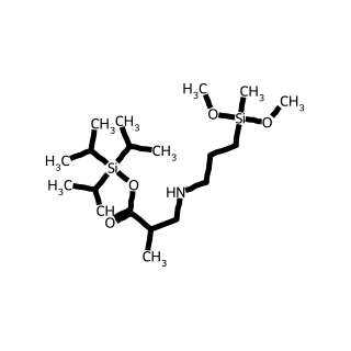 CO[Si](C)(CCCNCC(C)C(=O)O[Si](C(C)C)(C(C)C)C(C)C)OC